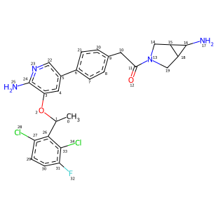 CC(Oc1cc(-c2ccc(CC(=O)N3CC4C(N)C4C3)cc2)cnc1N)c1c(Cl)ccc(F)c1Cl